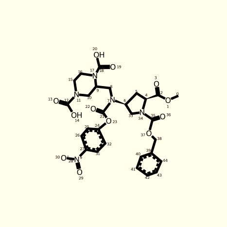 COC(=O)[C@@H]1C[C@H](N(CC2CN(C(=O)O)CCN2C(=O)O)C(=O)Oc2ccc([N+](=O)[O-])cc2)CN1C(=O)OCc1ccccc1